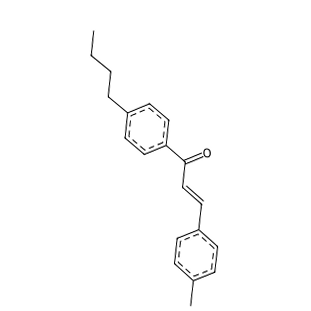 CCCCc1ccc(C(=O)C=Cc2ccc(C)cc2)cc1